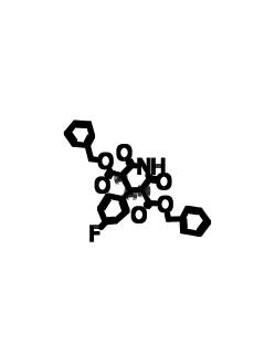 O=C1NC(=O)[C@@H](C(=O)OCc2ccccc2)[C@@H](c2ccc(F)cc2)[C@H]1C(=O)OCc1ccccc1